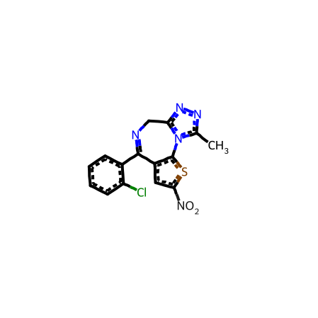 Cc1nnc2n1-c1sc([N+](=O)[O-])cc1C(c1ccccc1Cl)=NC2